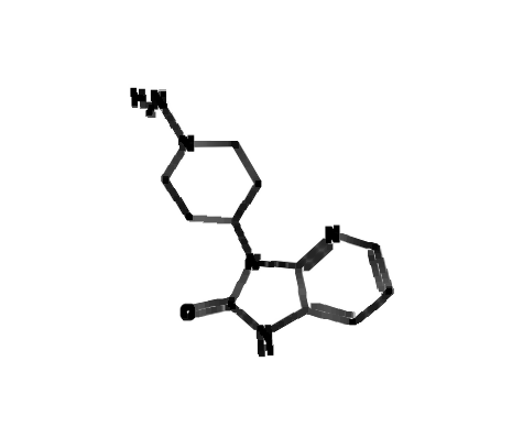 NN1CCC(n2c(=O)[nH]c3cccnc32)CC1